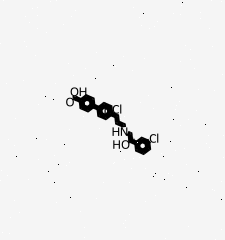 Cl.O=C(O)c1ccc(-c2ccc(CCCNC[C@H](O)c3cccc(Cl)c3)cc2)cc1